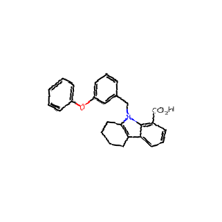 O=C(O)c1cccc2c3c(n(Cc4cccc(Oc5ccccc5)c4)c12)CCCC3